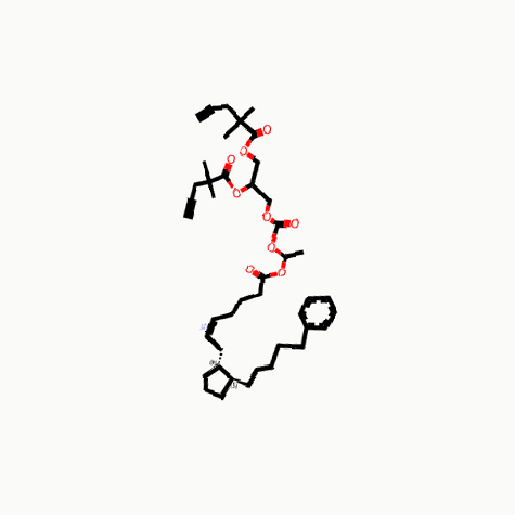 C#CCC(C)(C)C(=O)OCC(COC(=O)OC(C)OC(=O)CCC/C=C\C[C@H]1CCC[C@@H]1CCCCCc1ccccc1)OC(=O)C(C)(C)CC#C